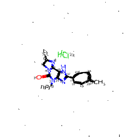 CCCN1C(=O)N2CC(CC)N=C2c2[nH]c(-c3ccc(C)cc3)nc21.Cl